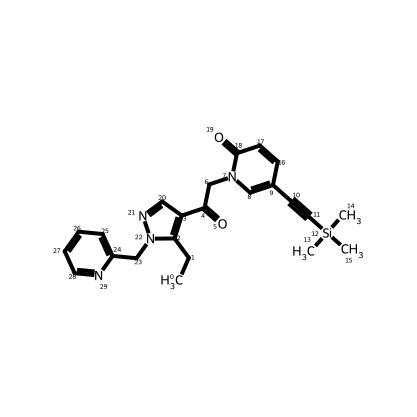 CCc1c(C(=O)Cn2cc(C#C[Si](C)(C)C)ccc2=O)cnn1Cc1ccccn1